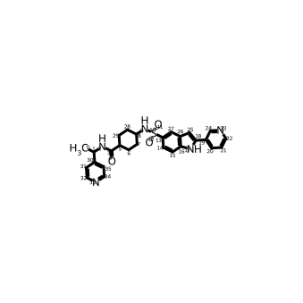 CC(NC(=O)C1CCC(NS(=O)(=O)c2ccc3[nH]c(-c4cccnc4)cc3c2)CC1)c1ccncc1